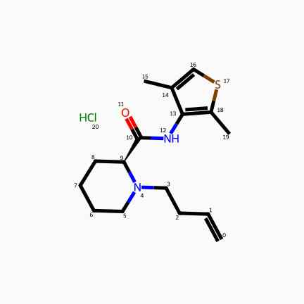 C=CCCN1CCCC[C@H]1C(=O)Nc1c(C)csc1C.Cl